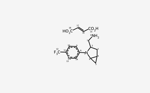 NCC1CC2CC2N1c1ccc(C(F)(F)F)nc1.O=C(O)C=CC(=O)O